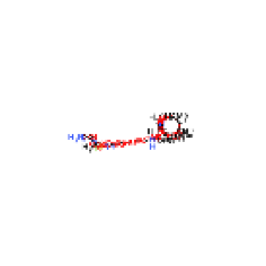 CO[C@H]1C[C@@H]2CC[C@@H](C)[C@@](O)(O2)C(=O)C(=O)N2CCCC[C@H]2C(=O)O[C@H]([C@H](C)C[C@@H]2CC[C@@H](OC(=O)NCCOCCOCCOCCOCCOCCOCCOCCOCCC(=O)NCCS(=O)(=O)c3ccc(C(=O)N4CCOc5ccc(-c6ccc(N)nc6)cc5C4)c(C)c3F)[C@H](OC)C2)C[C@@H](O)[C@H](C)/C=C(\C)[C@@H](O)[C@@H](OC)C(=O)[C@H](C)C[C@H](C)/C=C/C=C/C=C/1C